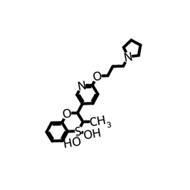 CC1C(c2ccc(OCCCN3CCCC3)nc2)Oc2ccccc2S1(O)O